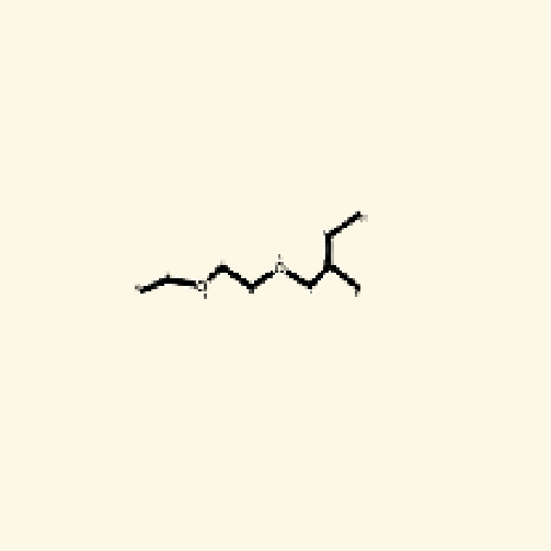 CCOCCOCC(C)CC